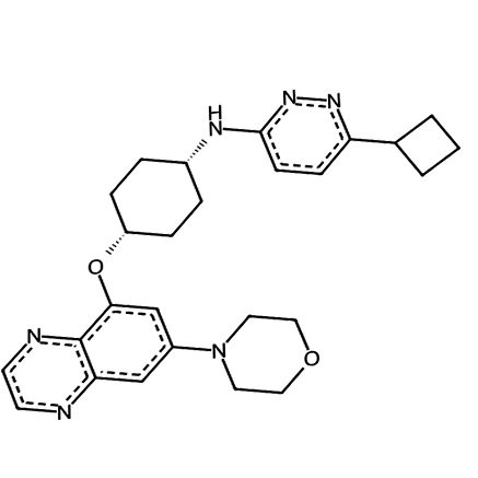 c1cnc2c(O[C@H]3CC[C@@H](Nc4ccc(C5CCC5)nn4)CC3)cc(N3CCOCC3)cc2n1